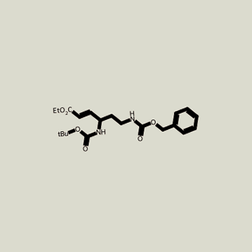 CCOC(=O)C=CC(CCNC(=O)OCc1ccccc1)NC(=O)OC(C)(C)C